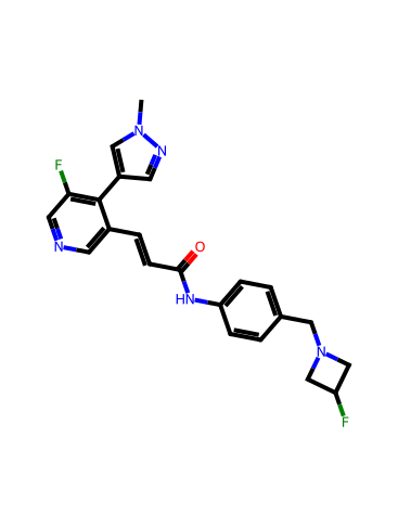 Cn1cc(-c2c(F)cncc2/C=C/C(=O)Nc2ccc(CN3CC(F)C3)cc2)cn1